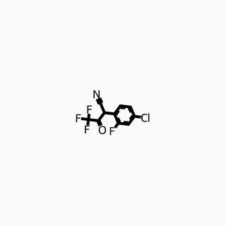 N#CC(C(=O)C(F)(F)F)c1ccc(Cl)cc1F